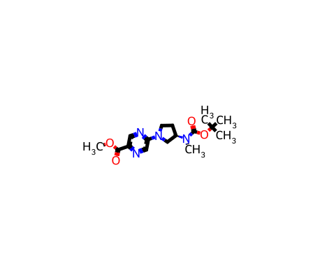 COC(=O)c1cnc(N2CC[C@@H](N(C)C(=O)OC(C)(C)C)C2)cn1